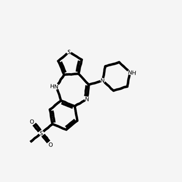 CS(=O)(=O)c1ccc2c(c1)Nc1cscc1C(N1CCNCC1)=N2